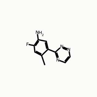 Cc1cc(F)c(N)cc1-c1nccnn1